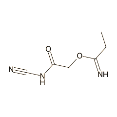 CCC(=N)OCC(=O)NC#N